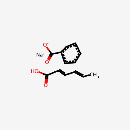 C/C=C/C=C/C(=O)O.O=C([O-])c1ccccc1.[Na+]